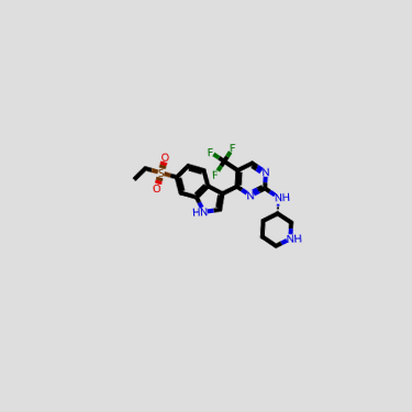 CCS(=O)(=O)c1ccc2c(-c3nc(N[C@H]4CCCNC4)ncc3C(F)(F)F)c[nH]c2c1